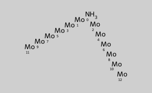 N.[Mo].[Mo].[Mo].[Mo].[Mo].[Mo].[Mo].[Mo].[Mo].[Mo].[Mo].[Mo]